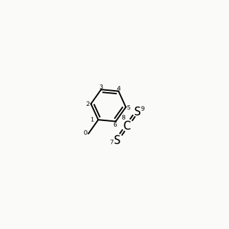 Cc1ccccc1.S=C=S